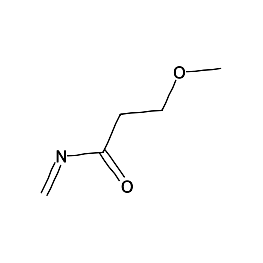 C=NC(=O)CCOC